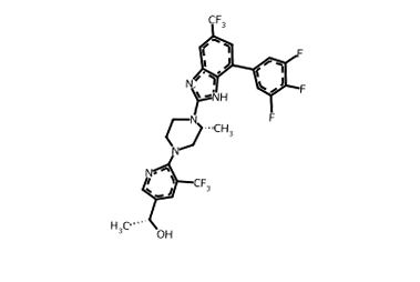 C[C@@H]1CN(c2ncc([C@@H](C)O)cc2C(F)(F)F)CCN1c1nc2cc(C(F)(F)F)cc(-c3cc(F)c(F)c(F)c3)c2[nH]1